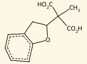 CC(C(=O)O)(C(=O)O)C1Cc2ccccc2O1